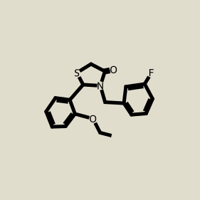 CCOc1ccccc1C1SCC(=O)N1Cc1cccc(F)c1